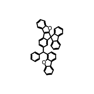 c1ccc(C(c2ccc3c(c2)C2(c4ccccc4-c4ccccc42)c2oc4ccccc4c2-3)c2cccc3c2oc2ccccc23)cc1